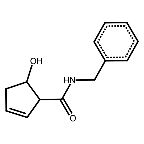 O=C(NCc1ccccc1)C1C=CCC1O